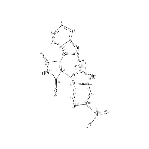 Cc1[nH]c2ccccc2c1C1=C(c2c(C)[nH]c3cc([N+](=O)[O-])ccc23)C(=O)NC1=O